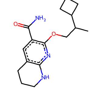 CC(COc1nc2c(cc1C(N)=O)CCCN2)C1CCC1